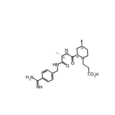 C[C@H]1CCN(CCC(=O)O)[C@@H](C(=O)N[C@@H](C)C(=O)NCc2ccc(C(=N)N)cc2)C1